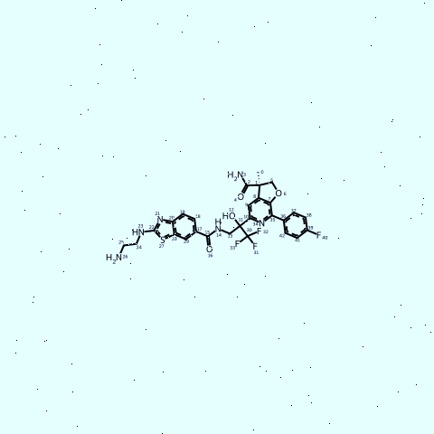 C[C@]1(C(N)=O)COc2c1cc(C(O)(CNC(=O)c1ccc3nc(NCCN)sc3c1)C(F)(F)F)nc2-c1ccc(F)cc1